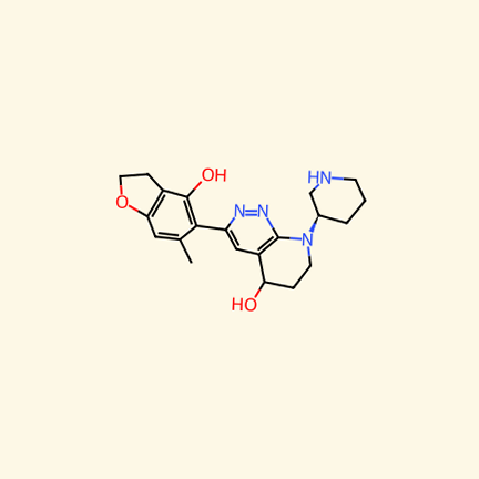 Cc1cc2c(c(O)c1-c1cc3c(nn1)N([C@@H]1CCCNC1)CCC3O)CCO2